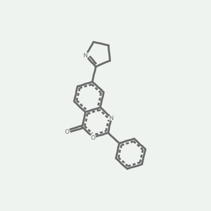 O=c1oc(-c2ccccc2)nc2cc(C3=NCCC3)ccc12